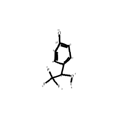 FC(F)(F)C(OI)c1ccc(Cl)cc1